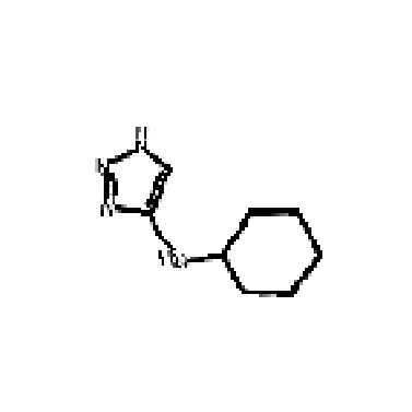 c1[nH]nnc1NC1CCCCC1